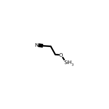 N#CCCO[SiH3]